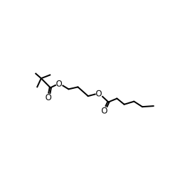 CCCCCC(=O)OCCCOC(=O)C(C)(C)C